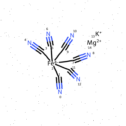 N#[C][Fe-4]([C]#N)([C]#N)([C]#N)([C]#N)[C]#N.[K+].[Mg+2]